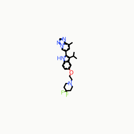 Cc1cc(-c2[nH]c3ccc(OCCN4CCC(F)(F)CC4)cc3c2C(C)C)cn2ncnc12